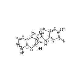 O=C(Nc1cc(I)c(Cl)cc1F)N1[C@H]2CC[C@@H]1c1ccnc(F)c1C2